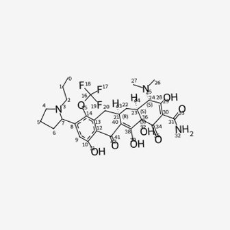 CCCN1CCCC1c1cc(O)c2c(c1OC(F)(F)F)C[C@H]1C[C@H]3[C@H](N(C)C)C(O)=C(C(N)=O)C(=O)[C@@]3(O)C(O)=C1C2=O